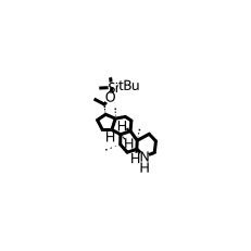 CC(O[Si](C)(C)C(C)(C)C)[C@H]1CC[C@H]2[C@@H]3[C@@H](C)C[C@H]4NCCC[C@]4(C)[C@H]3CC[C@]12C